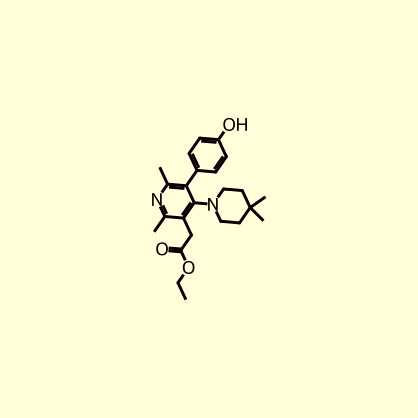 CCOC(=O)Cc1c(C)nc(C)c(-c2ccc(O)cc2)c1N1CCC(C)(C)CC1